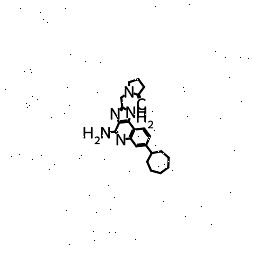 C=C1CCCN1Cc1nc2c(N)nc3cc(C4CCCCCC4)ccc3c2[nH]1